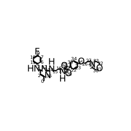 Cc1cc(Nc2ccc(F)cc2)nc(NCCNS(=O)(=O)c2ccc(OCCN3CCOCC3)cc2)n1